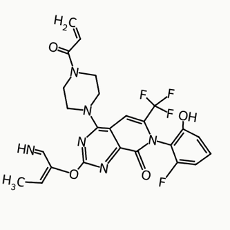 C=CC(=O)N1CCN(c2nc(O/C(C=N)=C/C)nc3c(=O)n(-c4c(O)cccc4F)c(C(F)(F)F)cc23)CC1